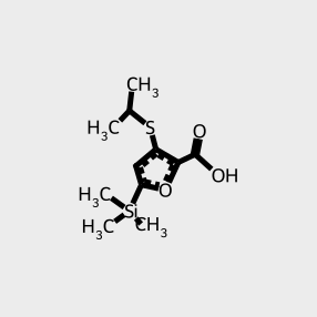 CC(C)Sc1cc([Si](C)(C)C)oc1C(=O)O